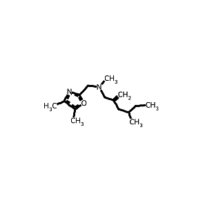 C=C(CC(C)CC)CN(C)Cc1nc(C)c(C)o1